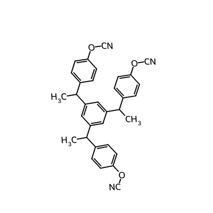 CC(c1ccc(OC#N)cc1)c1cc(C(C)c2ccc(OC#N)cc2)cc(C(C)c2ccc(OC#N)cc2)c1